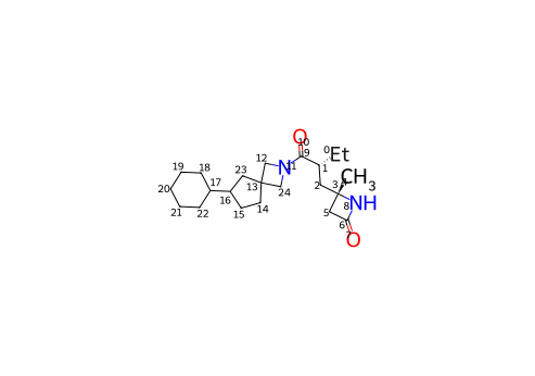 CC[C@H](C[C@@]1(C)CC(=O)N1)C(=O)N1CC2(CCC(C3CCCCC3)C2)C1